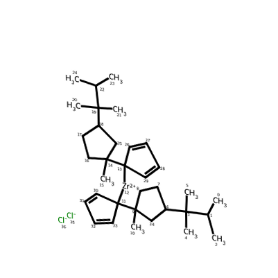 CC(C)C(C)(C)C1CCC(C)([C]2([Zr+2][C]3(C4(C)CCC(C(C)(C)C(C)C)C4)C=CC=C3)C=CC=C2)C1.[Cl-].[Cl-]